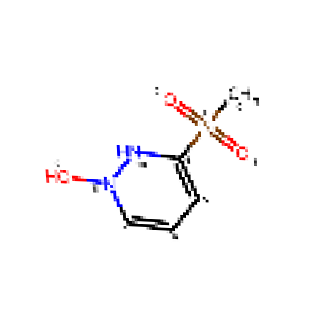 CS(=O)(=O)C1=CC=CN(O)N1